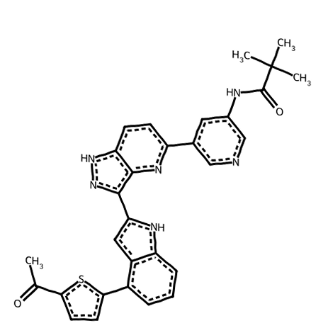 CC(=O)c1ccc(-c2cccc3[nH]c(-c4n[nH]c5ccc(-c6cncc(NC(=O)C(C)(C)C)c6)nc45)cc23)s1